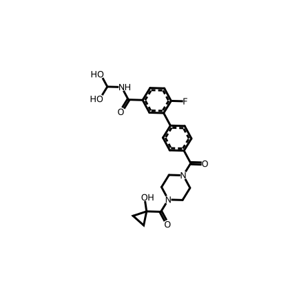 O=C(NC(O)O)c1ccc(F)c(-c2ccc(C(=O)N3CCN(C(=O)C4(O)CC4)CC3)cc2)c1